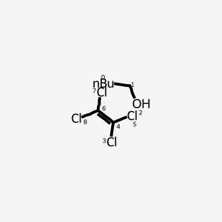 CCCCCO.ClC(Cl)=C(Cl)Cl